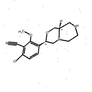 COc1c([C@@H]2CN3CCNC[C@H]3CO2)ccc(Cl)c1C#N